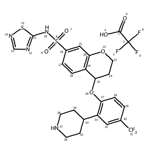 O=C(O)C(F)(F)F.O=S(=O)(Nc1ncns1)c1ccc2c(c1)OCCC2Oc1ccc(C(F)(F)F)cc1C1CCNCC1